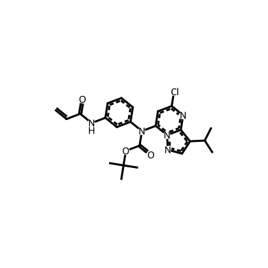 C=CC(=O)Nc1cccc(N(C(=O)OC(C)(C)C)c2cc(Cl)nc3c(C(C)C)cnn23)c1